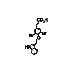 O=C(O)CCc1cc(Br)c(OCCc2c[nH]c3ccccc23)c(Br)c1